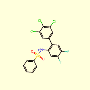 O=S(=O)(Nc1cc(F)c(F)cc1-c1cc(Cl)c(Cl)c(Cl)c1)c1ccccc1